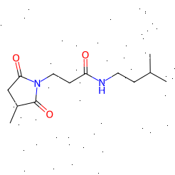 CC(C)CCNC(=O)CCN1C(=O)CC(C)C1=O